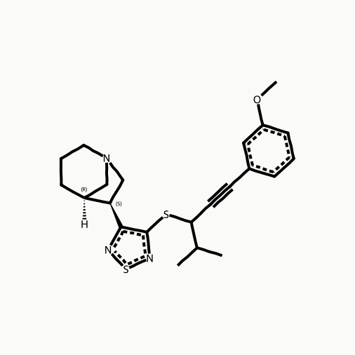 COc1cccc(C#CC(Sc2nsnc2[C@@H]2CN3CCC[C@H]2C3)C(C)C)c1